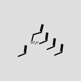 C=CC.C=CC.C=CC.C=CC.C=CCS(=O)(=O)O